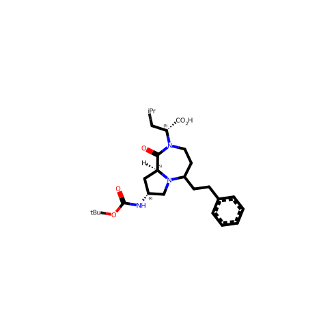 CC(C)C[C@H](C(=O)O)N1CCC(CCc2ccccc2)N2C[C@H](NC(=O)OC(C)(C)C)C[C@H]2C1=O